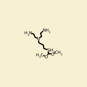 COC(OC)[SiH2]CCCN(CCN)CCN